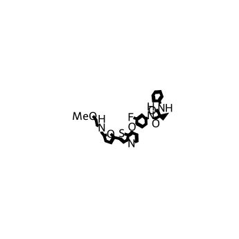 COCCNCC1CC=C(c2cc3nccc(OC4=CCC(NC(=O)C5(C(=O)Nc6ccccc6)CC5)C=C4F)c3s2)O1